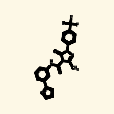 CC1=NN(c2ccc(C(F)(F)F)cc2)C(=O)C1C(=O)Nc1cccc(-c2ccco2)c1